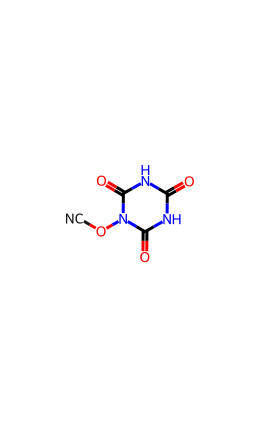 N#COn1c(=O)[nH]c(=O)[nH]c1=O